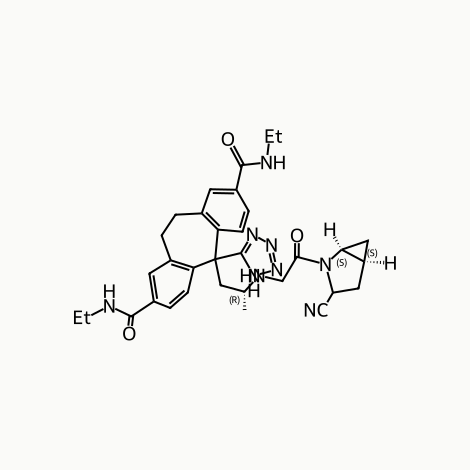 CCNC(=O)c1ccc2c(c1)CCc1cc(C(=O)NCC)ccc1C2(C[C@@H](C)NCC(=O)N1C(C#N)C[C@@H]2C[C@@H]21)c1nnn[nH]1